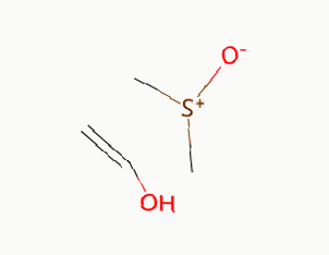 C=CO.C[S+](C)[O-]